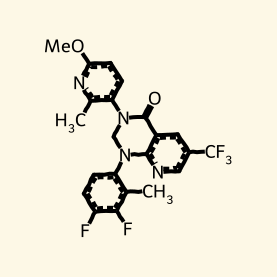 COc1ccc(N2CN(c3ccc(F)c(F)c3C)c3ncc(C(F)(F)F)cc3C2=O)c(C)n1